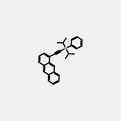 CC(C)[Si](C#Cc1cccc2cc3ccccc3cc12)(c1ccccc1)C(C)C